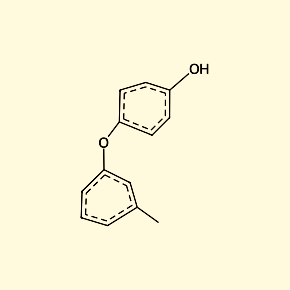 Cc1cccc(Oc2ccc(O)cc2)c1